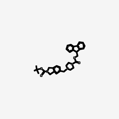 CC(C)(C)OC(=O)N1Cc2ccc(CN3CCN(C(=O)OCC4c5ccccc5-c5ccccc54)CC3)cc2C1